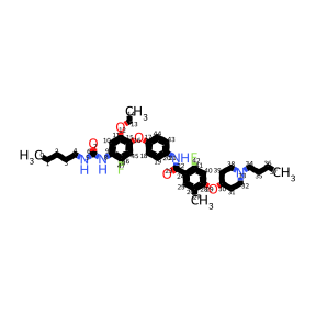 CCCCCNC(=O)Nc1cc(OCC)c(Oc2ccc(NC(=O)c3cc(C)c(OC4CCN(CCCC)CC4)cc3F)cc2)cc1F